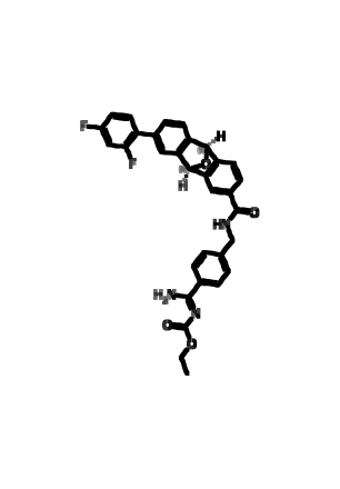 CCOC(=O)N=C(N)c1ccc(CNC(=O)c2ccc3c(c2)[C@@H]2O[C@H]3c3ccc(-c4ccc(F)cc4F)cc32)cc1